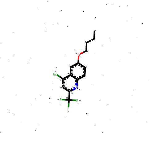 CCCCOc1ccc2nc(C(F)(F)F)cc(Br)c2c1